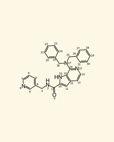 O=C(NCc1cccnc1)c1cc2ccnc(N(Cc3ccccc3)Cc3ccccc3)c2[nH]1